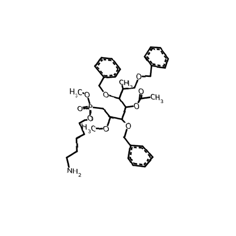 COC(CP(=O)(OC)OCCCCCN)C(OCc1ccccc1)C(OC(C)=O)C(OCc1ccccc1)C(C)COCc1ccccc1